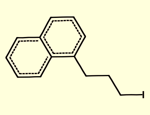 ICCCc1cccc2ccccc12